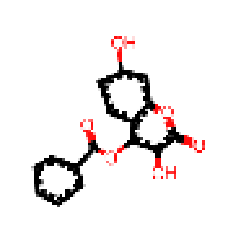 O=C(Oc1c(O)c(=O)oc2cc(O)ccc12)c1ccccc1